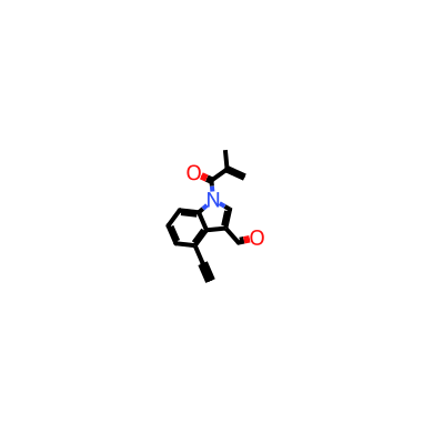 C#Cc1cccc2c1c(C=O)cn2C(=O)C(=C)C